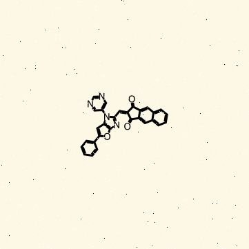 O=C1C(=Cc2nc3oc(-c4ccccc4)cc3n2-c2cncnc2)C(=O)c2cc3ccccc3cc21